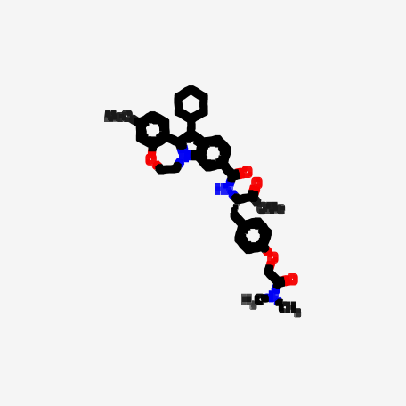 COC(=O)[C@H](Cc1ccc(OCC(=O)N(C)C)cc1)NC(=O)c1ccc2c(C3CCCCC3)c3n(c2c1)CCOc1cc(OC)ccc1-3